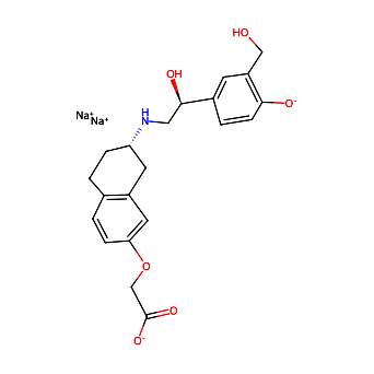 O=C([O-])COc1ccc2c(c1)C[C@@H](NC[C@@H](O)c1ccc([O-])c(CO)c1)CC2.[Na+].[Na+]